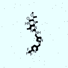 COC(C)[C@H]1C(=O)Nc2c(C)nc(NCc3cnn(Cc4ccc(C(F)(F)F)nc4)c3)nc2N1C